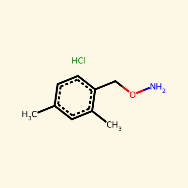 Cc1ccc(CON)c(C)c1.Cl